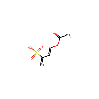 C=C(C=COC(C)=O)S(=O)(=O)O